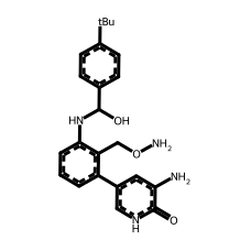 CC(C)(C)c1ccc(C(O)Nc2cccc(-c3c[nH]c(=O)c(N)c3)c2CON)cc1